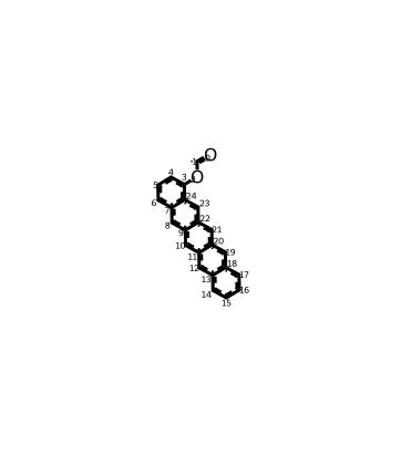 O=[C]Oc1cccc2cc3cc4cc5ccccc5cc4cc3cc12